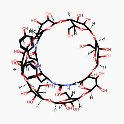 C[C@H]1NC(=O)[C@H](Cc2ccc(O)cc2)NC(=O)[C@H](Cc2ccc(O)cc2)NC(=O)NC[C@H]2O[C@@H]3O[C@H]4C(O)[C@@H](O)[C@H](O[C@@H]4CO)O[C@H]4C(O)C(O)[C@H](O[C@@H]4CO)O[C@H]4C(O)C(O)[C@H](O[C@@H]4CO)O[C@H]4C(O)C(O)[C@H](O[C@H]14)O[C@H]1C(O)C(O)[C@H](O[C@@H]1CO)O[C@H]1C(O)C(O)[C@H](O[C@@H]1CO)O[C@H]2C(O)C3O